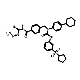 N=C(/N=N\N)NC(=O)c1ccc(CN(C(=O)Nc2cccc(S(=O)(=O)C3CCCC3)c2)c2ccc(C3CCCCC3)cc2)cc1